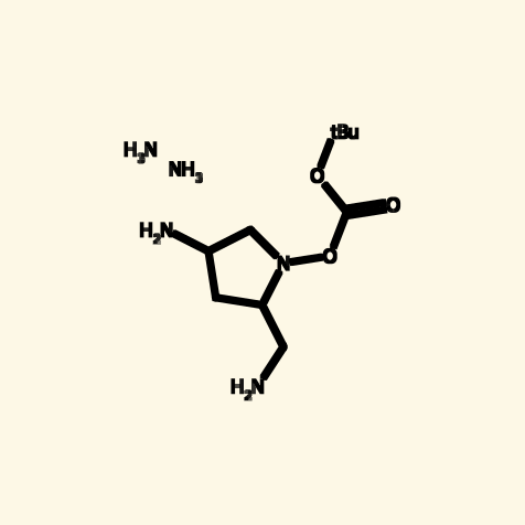 CC(C)(C)OC(=O)ON1CC(N)CC1CN.N.N